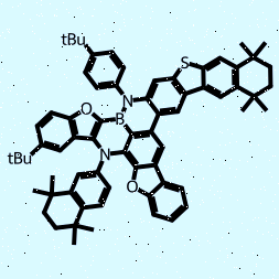 CC(C)(C)c1ccc(N2B3c4oc5ccc(C(C)(C)C)cc5c4N(c4ccc5c(c4)C(C)(C)CCC5(C)C)c4c3c(cc3c4oc4ccccc43)-c3cc4c(cc32)sc2cc3c(cc24)C(C)(C)CCC3(C)C)cc1